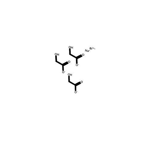 O=C([O-])CO.O=C([O-])CO.O=C([O-])CO.[Bi+3].[Na+]